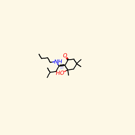 CCCCN/C(CC(C)C)=C1\C(=O)CC(C)(C)CC1(C)O